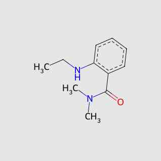 CCNc1ccccc1C(=O)N(C)C